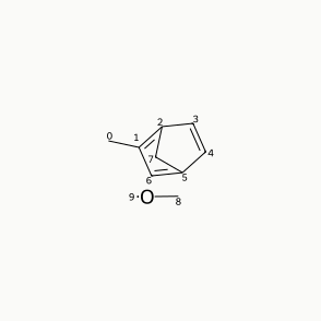 CC1=C2C=CC(=C1)C2.C[O]